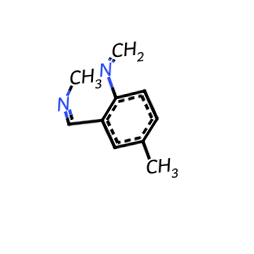 C=Nc1ccc(C)cc1/C=N\C